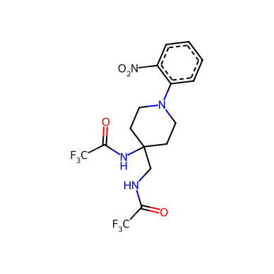 O=C(NCC1(NC(=O)C(F)(F)F)CCN(c2ccccc2[N+](=O)[O-])CC1)C(F)(F)F